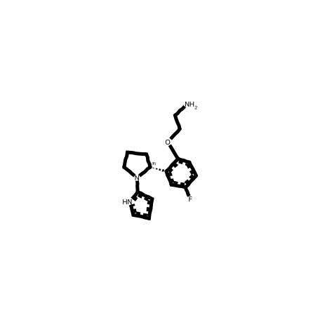 NCCOc1ccc(F)cc1[C@H]1CCCN1c1ccc[nH]1